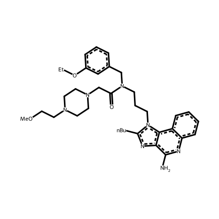 CCCCc1nc2c(N)nc3ccccc3c2n1CCCN(Cc1cccc(OCC)c1)C(=O)CN1CCN(CCOC)CC1